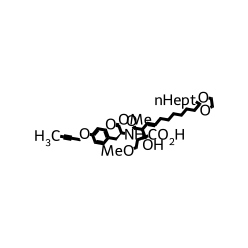 CC#CCOc1ccc(C[C@H](NC(=O)C(/C=C/CCCCCCC2(CCCCCCC)OCCO2)C(O)(CCOC)C(=O)O)C(=O)OC)cc1